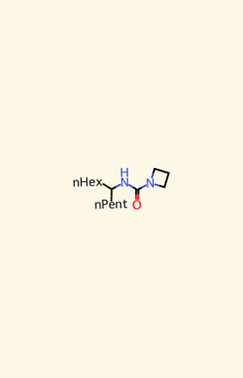 CCCCCCC(CCCCC)NC(=O)N1CCC1